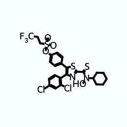 O=S(=O)(CCC(F)(F)F)Oc1ccc(-c2sc(C(=S)N(O)C3CCCCC3)nc2-c2ccc(Cl)cc2Cl)cc1